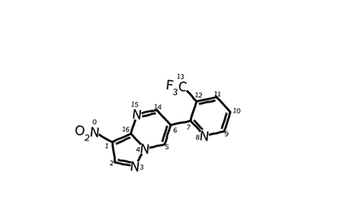 O=[N+]([O-])c1cnn2cc(-c3ncccc3C(F)(F)F)cnc12